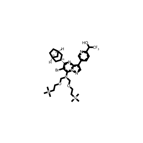 C[Si](C)(C)CCOCN(COCC[Si](C)(C)C)c1c(Br)c([C@H]2C[C@@H]3CC[C@@H](C3)C2)nc2c(-c3ccc(C(O)C(F)(F)F)nc3)cnn12